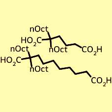 CCCCCCCCC(CCCCCCCC)(CCCC(=O)O)C(=O)O.CCCCCCCCC(CCCCCCCC)(CCCCCCCC(=O)O)C(=O)O